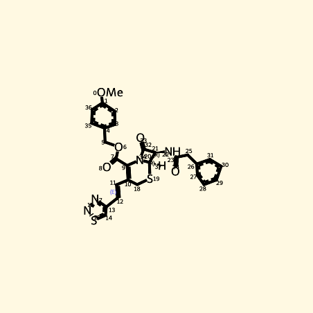 COc1ccc(COC(=O)C2=C(/C=C/c3csnn3)CS[C@@H]3[C@H](NC(=O)Cc4ccccc4)C(=O)N23)cc1